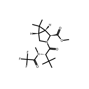 COC(=O)[C@@H]1[C@@H]2[C@H](CN1C(=O)[C@@H](N(C)C(=O)C(F)(F)F)C(C)(C)C)C2(C)C